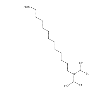 CCCCCCCCCCCCCCCCCCCCCCN(C(O)CC)C(O)CC